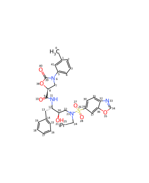 Cc1cccc(N2C[C@@H](C(=O)N[C@@H](Cc3ccccc3)[C@H](O)CN(CC(C)C)S(=O)(=O)c3ccc4ncoc4c3)OC2=O)c1